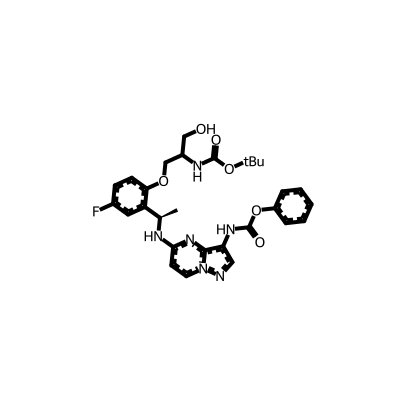 C[C@@H](Nc1ccn2ncc(NC(=O)Oc3ccccc3)c2n1)c1cc(F)ccc1OCC(CO)NC(=O)OC(C)(C)C